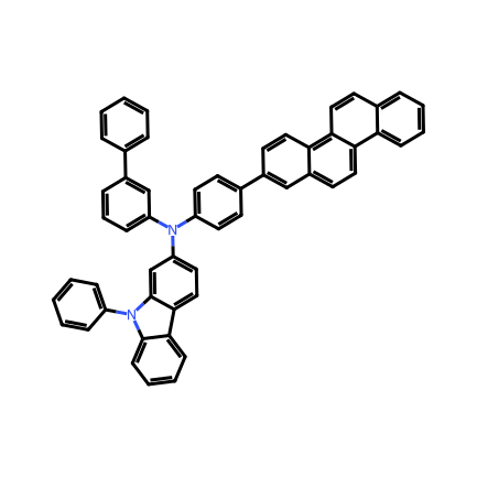 c1ccc(-c2cccc(N(c3ccc(-c4ccc5c(ccc6c7ccccc7ccc56)c4)cc3)c3ccc4c5ccccc5n(-c5ccccc5)c4c3)c2)cc1